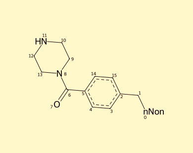 CCCCCCCCCCc1ccc(C(=O)N2CCNCC2)cc1